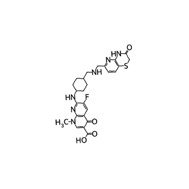 Cn1cc(C(=O)O)c(=O)c2cc(F)c(NC3CCC(CNCc4ccc5c(n4)NC(=O)CS5)CC3)nc21